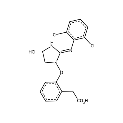 Cl.O=C(O)Cc1ccccc1ON1CCNC1=Nc1c(Cl)cccc1Cl